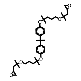 CC(C)(CC1CO1)OCCCC(C)(C)Oc1ccc(C(C)(C)c2ccc(OC(C)(C)CCCOC(C)(C)CC3CO3)cc2)cc1